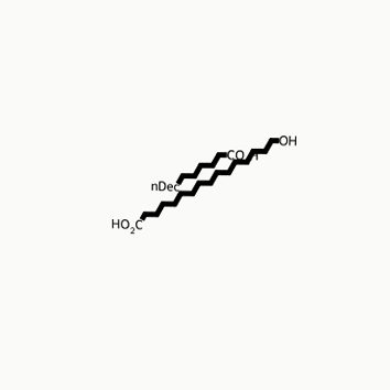 CCCCCCCCCCCCCCCC(=O)O.O=C(O)CCCCCCCCCCCCCCCO